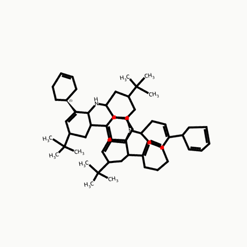 CC(C)(C)C1C=C([C@@H]2CC=CCC2)C(NC2CC(N(C3C=CC(C4C=CC=CC4)=CC3)C3C=CC(C(C)(C)C)CC3C3=CCCCC3)CC(C(C)(C)C)C2)C(C2=CCCCC2)C1